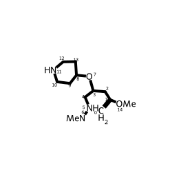 C=C(CC(CNNC)OC1CCNCC1)OC